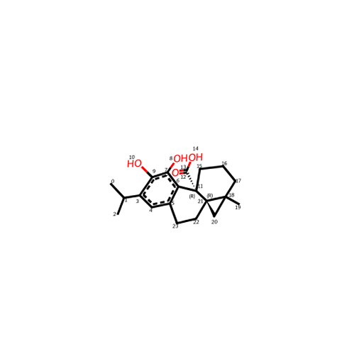 CC(C)c1cc2c(c(O)c1O)[C@@]1(C(=O)O)CCCC3(C)C[C@]31CC2